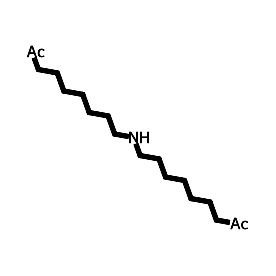 CC(=O)CCCCCCCNCCCCCCCC(C)=O